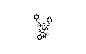 Cn1c(=O)c2c(OCCN3CCOCC3)c(C(=O)NCCc3ccccc3)sc2c2ccccc21